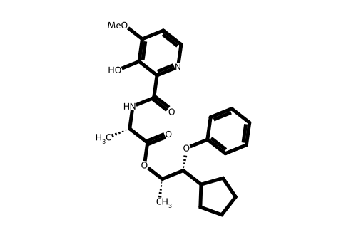 COc1ccnc(C(=O)N[C@@H](C)C(=O)O[C@@H](C)[C@H](Oc2ccccc2)C2CCCC2)c1O